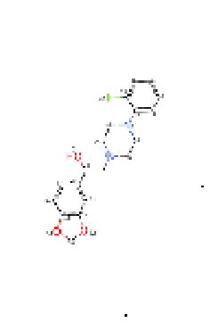 OC(CN1CCN(c2ccccc2F)CC1)c1ccc2c(c1)OCO2